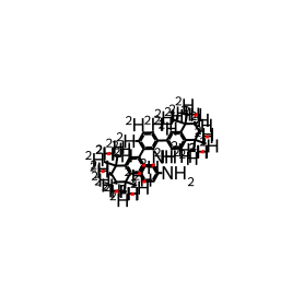 [2H]c1c([2H])c(-c2c([2H])c([2H])c3c(c2[2H])C(C([2H])([2H])[2H])(C([2H])([2H])[2H])C([2H])([2H])C([2H])([2H])C3(C([2H])([2H])[2H])C([2H])([2H])[2H])c(Nc2ccccc2N)c(-c2c([2H])c([2H])c3c(c2[2H])C(C([2H])([2H])[2H])(C([2H])([2H])[2H])C([2H])([2H])C([2H])([2H])C3(C([2H])([2H])[2H])C([2H])([2H])[2H])c1[2H]